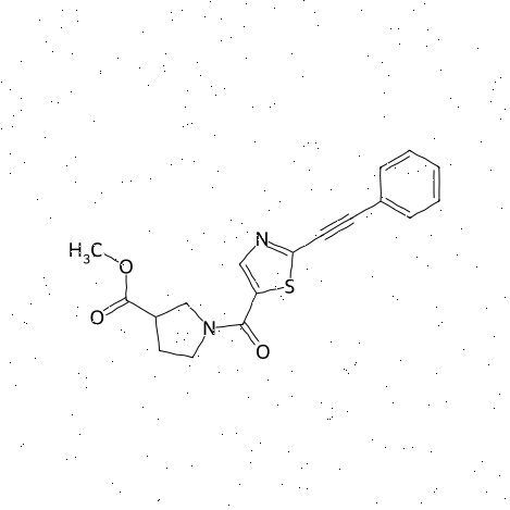 COC(=O)C1CCN(C(=O)c2cnc(C#Cc3ccccc3)s2)C1